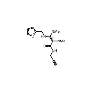 C#CCNC(=O)/C(NC)=C(/NC)NCc1ccco1